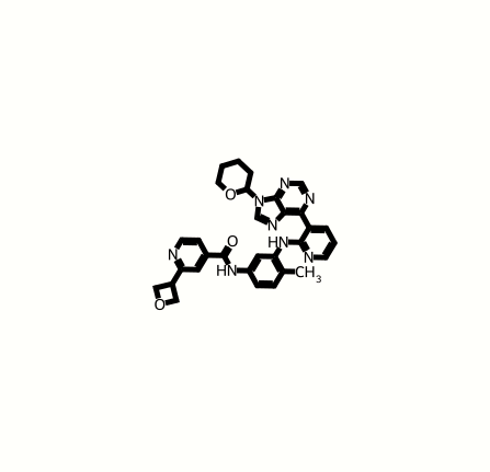 Cc1ccc(NC(=O)c2ccnc(C3COC3)c2)cc1Nc1ncccc1-c1ncnc2c1ncn2C1CCCCO1